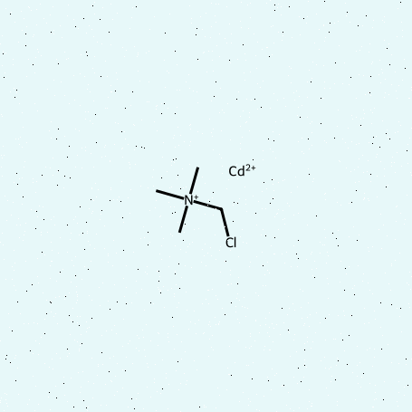 C[N+](C)(C)CCl.[Cd+2]